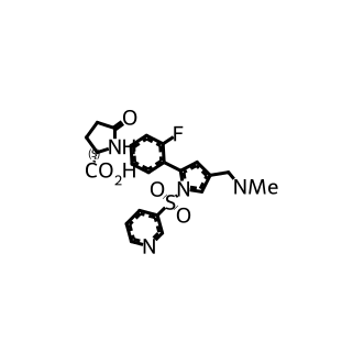 CNCc1cc(-c2ccccc2F)n(S(=O)(=O)c2cccnc2)c1.O=C1CC[C@@H](C(=O)O)N1